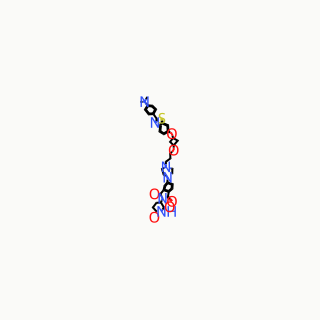 CN(C)c1ccc(-c2nc3ccc(OC4CC(OCCCN5CCN(c6ccc7c(c6)C(=O)N(C6CCC(=O)NC6=O)C7=O)CC5)C4)cc3s2)cc1